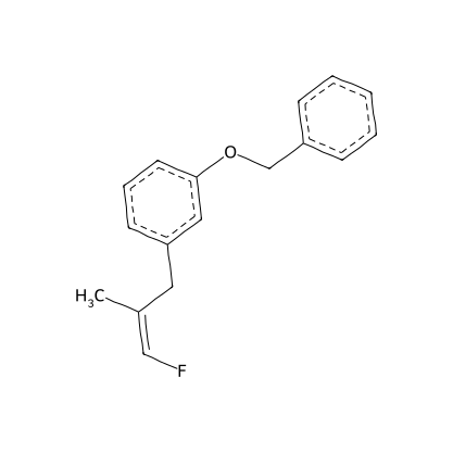 C/C(=C/F)Cc1cccc(OCc2ccccc2)c1